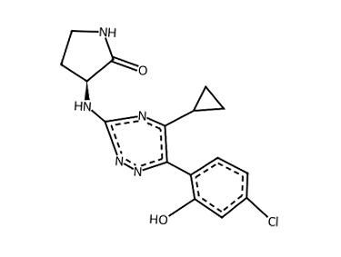 O=C1NCC[C@@H]1Nc1nnc(-c2ccc(Cl)cc2O)c(C2CC2)n1